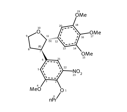 CCCOc1c(OC)cc([C@H]2CCO[C@@H]2c2cc(OC)c(OC)c(OC)c2)cc1[N+](=O)[O-]